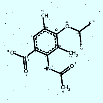 CC(=O)Nc1c([N+](=O)[O-])cc(C)c(OC(F)F)c1C